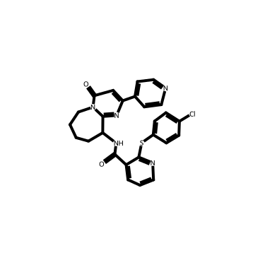 O=C(NC1CCCCn2c1nc(-c1ccncc1)cc2=O)c1cccnc1Sc1ccc(Cl)cc1